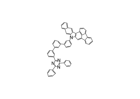 c1ccc(-c2nc(-c3ccccc3)nc(-c3cccc(-c4cccc(-c5cccc(-n6c7cc8ccccc8cc7c7c8cccc9c8c(cc76)-c6ccccc6-9)c5)c4)c3)n2)cc1